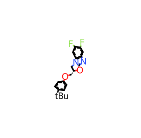 CC(C)(C)c1ccc(OC[C@@H]2Cn3c(nc4cc(F)c(F)cc43)O2)cc1